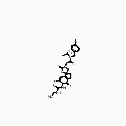 C[C@H](N(Cc1ccc(F)cc1)C(=O)CN1CC2(CCC3=C2C=C(F)C(NC(=O)NCC#N)C3=O)OC1=O)C(F)(F)F